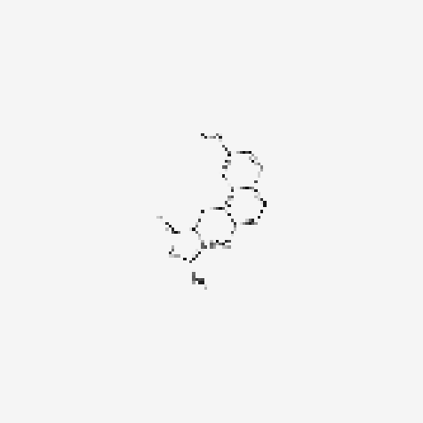 COc1ccc2ccc(OC)c(CC3N=C(C)OC3=O)c2c1